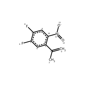 C=C(C)c1cc(F)c(F)cc1[N+](=O)[O-]